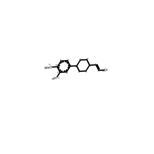 CCC=CC1CCC(c2ccc(OC)c(CCC)c2)CC1